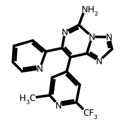 Cc1cc(-c2c(-c3ccccn3)nc(N)n3ncnc23)cc(C(F)(F)F)n1